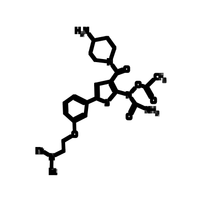 CCN(CC)CCOc1cccc(-c2cc(C(=O)N3CCC(N)CC3)c(N(OC(=O)C(F)(F)F)C(N)=O)s2)c1